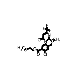 COCCOC(=O)c1cc(-n2c(OC)nc(C(F)(F)F)cc2=O)c(F)cc1Cl